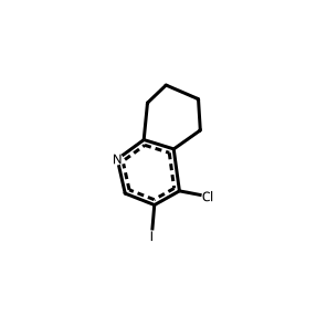 Clc1c(I)cnc2c1CCCC2